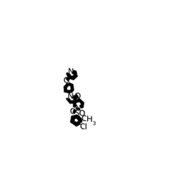 Cc1c(Cl)cccc1S(=O)(=O)N1CCCC2(CCN(C3CCC(Oc4cccnc4)CC3)C2=O)C1